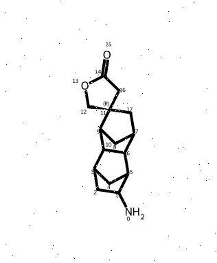 NC1CC2CC1C1C3CC(C21)[C@@]1(COC(=O)C1)C3